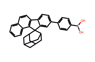 OB(O)c1ccc(-c2ccc3c(c2)C2(c4c-3ccc3ccccc43)C3CC4CC(C3)CC2C4)cc1